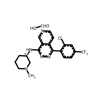 CN1CCC[C@@H](Nc2nnc(-c3ccc(C(F)(F)F)cc3Cl)c3ccncc23)C1.O=CO